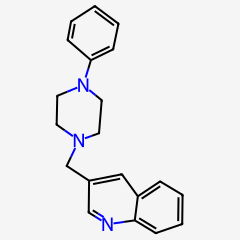 c1ccc(N2CCN(Cc3cnc4ccccc4c3)CC2)cc1